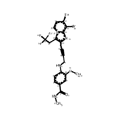 CNC(=O)c1ccc(NCC#Cc2nc3c(Br)c(F)ccn3c2CC(F)(F)F)c(OC)c1